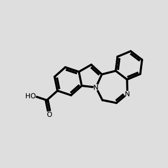 O=C(O)c1ccc2cc3n(c2c1)CC=Nc1ccccc1-3